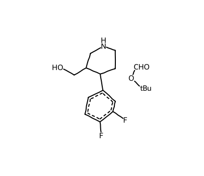 CC(C)(C)OC=O.OCC1CNCCC1c1ccc(F)c(F)c1